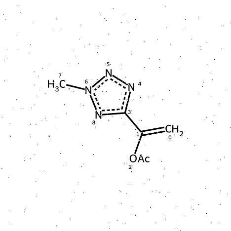 C=C(OC(C)=O)c1nnn(C)n1